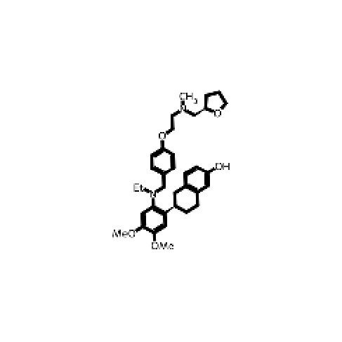 CCN(Cc1ccc(OCCN(C)C[C@H]2CCCO2)cc1)c1cc(OC)c(OC)cc1[C@@H]1CCc2cc(O)ccc2C1